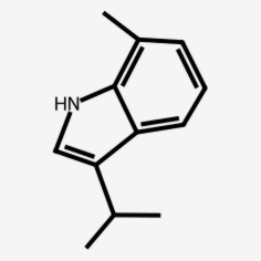 Cc1cccc2c(C(C)C)c[nH]c12